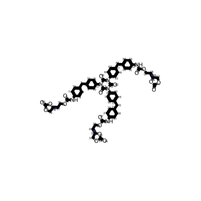 O=C(Nc1ccc(Cc2ccc(-n3c(=O)n(-c4ccc(Cc5ccc(NC(=O)OC/C=C6/COC(=O)O6)cc5)cc4)c(=O)n(-c4ccc(Cc5ccc(NC(=O)OC/C=C6/COC(=O)O6)cc5)cc4)c3=O)cc2)cc1)OC/C=C1/COC(=O)O1